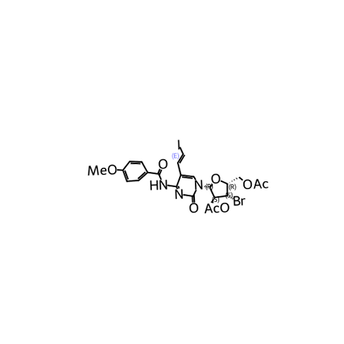 COc1ccc(C(=O)Nc2nc(=O)n([C@@H]3O[C@H](COC(C)=O)[C@H](Br)[C@H]3OC(C)=O)cc2/C=C/I)cc1